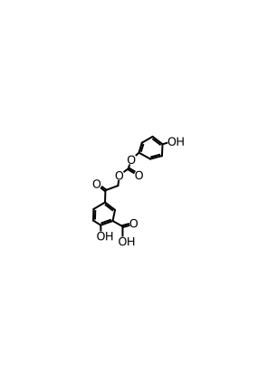 O=C(OCC(=O)c1ccc(O)c(C(=O)O)c1)Oc1ccc(O)cc1